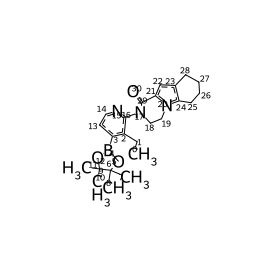 CCc1c(B2OC(C)(C)C(C)(C)O2)ccnc1N1CCn2c(cc3c2CCCC3)C1=O